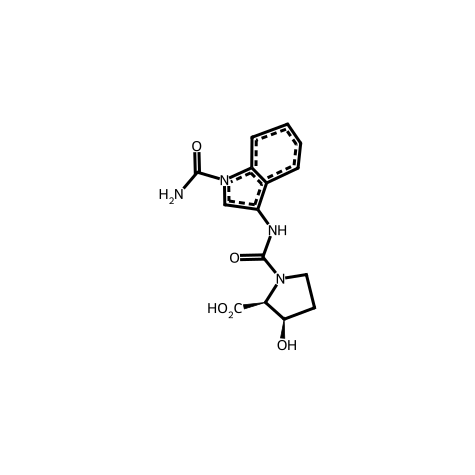 NC(=O)n1cc(NC(=O)N2CC[C@@H](O)[C@H]2C(=O)O)c2ccccc21